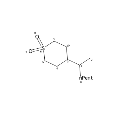 CCCCCC(C)C1CCS(=O)(=O)CC1